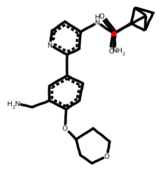 NCc1cc(-c2cc(NC(=O)C3C4CC3C4C(N)=O)ccn2)ccc1OC1CCOCC1